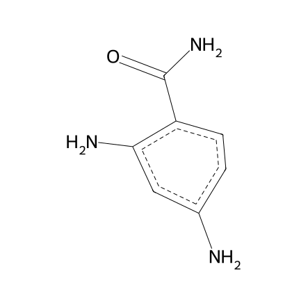 NC(=O)c1ccc(N)cc1N